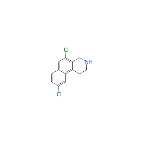 Clc1ccc2cc(Cl)c3c(c2c1)CCNC3